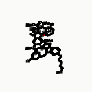 CCC1=C[C@H]2CN(C1)Cc1c([nH]c3ccc(SCCCCO)cc13)[C@@](C(=O)OC)(C1C=C3C(=CC1OC)N(C)[C@H]1[C@@](O)(C(=O)OC)[C@H](OC(C)=O)C4[C@@H](CC)CCN5CC[C@]31[C@H]45)C2